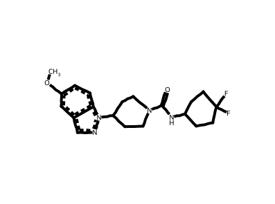 COc1ccc2c(cnn2C2CCN(C(=O)NC3CCC(F)(F)CC3)CC2)c1